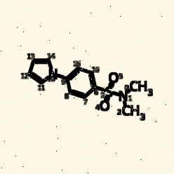 CN(C)S(=O)(=O)c1ccc(-n2cccc2)cc1